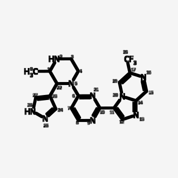 CC1NCCN(c2ccnc(-c3cnc4cnc(C(F)(F)F)cn34)n2)C1c1cn[nH]c1